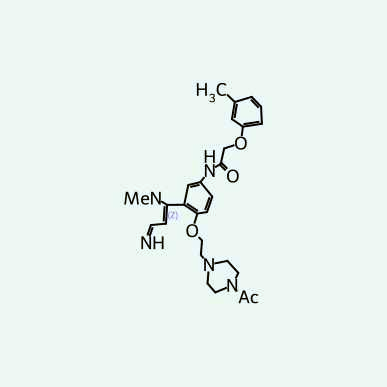 CN/C(=C\C=N)c1cc(NC(=O)COc2cccc(C)c2)ccc1OCCN1CCN(C(C)=O)CC1